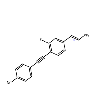 CCC/C=C/c1ccc(C#Cc2ccc(C#N)cc2)c(F)c1